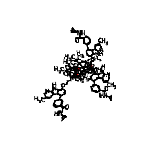 CCN(CCCOc1ccc(-c2cccc(C(=O)NC3CC3)c2)c2c1[nH]c1ncc(C)cc12)CC(OP(=O)(OC(CN(CC)CCCOc1ccc(-c2cccc(C(=O)NC3CC3)c2)c2c1[nH]c1ncc(C)cc12)(C(C)(C)C)C(C)(C)C)OC(CN(CC)CCCOc1ccc(-c2cccc(C(=O)NC3CC3)c2)c2c1[nH]c1ncc(C)cc12)(C(C)(C)C)C(C)(C)C)(C(C)(C)C)C(C)(C)C